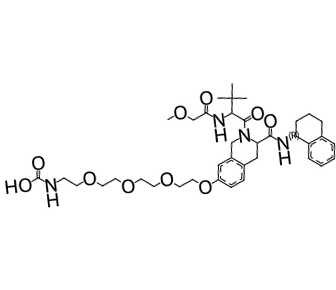 COCC(=O)NC(C(=O)N1Cc2cc(OCCOCCOCCOCCNC(=O)O)ccc2CC1C(=O)N[C@@H]1CCCc2ccccc21)C(C)(C)C